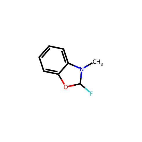 CN1c2ccccc2OC1F